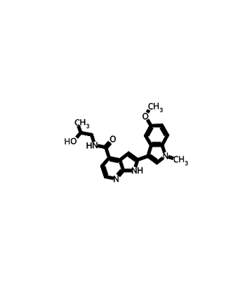 COc1ccc2c(c1)c(-c1cc3c(C(=O)NCC(C)O)ccnc3[nH]1)cn2C